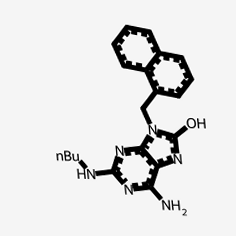 CCCCNc1nc(N)c2nc(O)n(Cc3cccc4ccccc34)c2n1